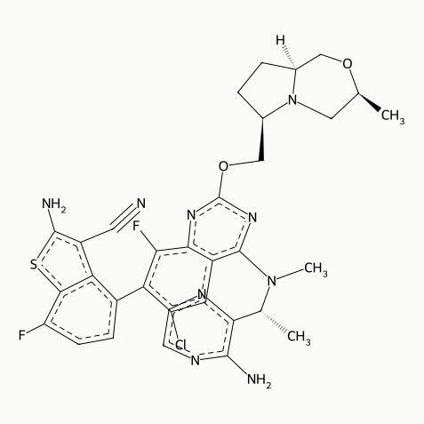 C[C@H](c1nccnc1N)N(C)c1nc(OC[C@H]2CC[C@H]3CO[C@@H](C)CN23)nc2c(F)c(-c3ccc(F)c4sc(N)c(C#N)c34)c(Cl)cc12